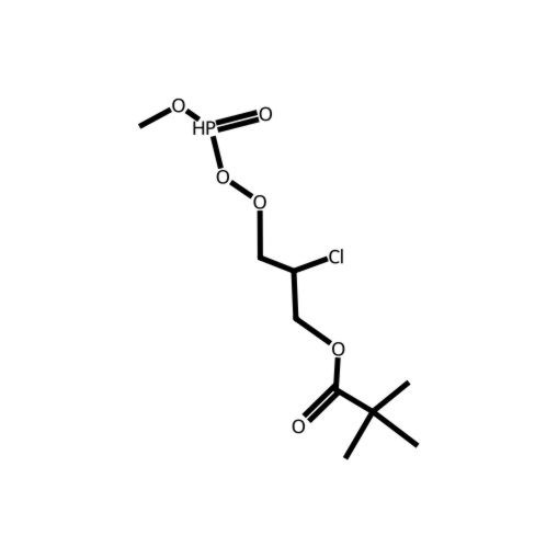 CO[PH](=O)OOCC(Cl)COC(=O)C(C)(C)C